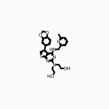 Cc1cccc(CNc2nc(N(CCO)CCO)nc3scc(-c4ccc5c(c4)OCO5)c23)n1